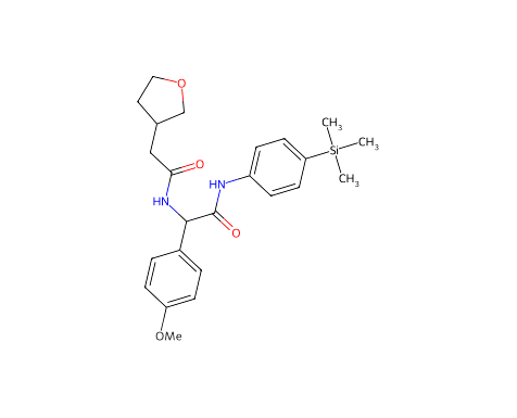 COc1ccc(C(NC(=O)CC2CCOC2)C(=O)Nc2ccc([Si](C)(C)C)cc2)cc1